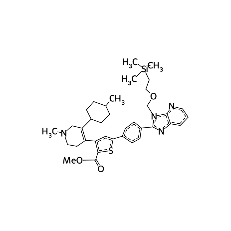 COC(=O)c1sc(-c2ccc(-c3nc4cccnc4n3COCC[Si](C)(C)C)cc2)cc1C1=C(C2CCC(C)CC2)CN(C)CC1